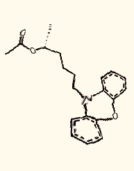 CC(=O)O[C@H](C)CCCCN1c2ccccc2Oc2ccccc21